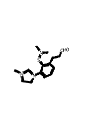 CN1CCN(c2cccc(CCC=O)c2SN(C)C)C1